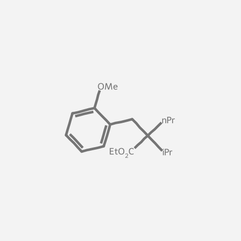 CCCC(Cc1ccccc1OC)(C(=O)OCC)C(C)C